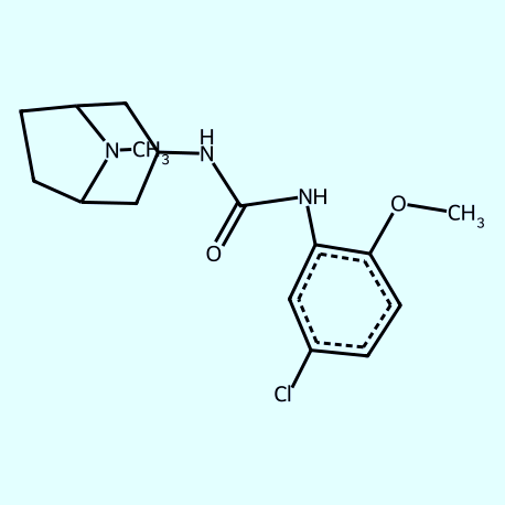 COc1ccc(Cl)cc1NC(=O)NC1CC2CCC(C1)N2C